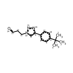 CC(C)(C)c1ccc(-c2cn(CCC=O)nn2)cc1